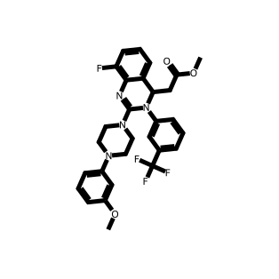 COC(=O)CC1c2cccc(F)c2N=C(N2CCN(c3cccc(OC)c3)CC2)N1c1cccc(C(F)(F)F)c1